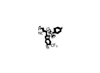 Cc1ccc(S(=O)(=O)n2c(C(=O)/C(C#N)=C/N(C)C)cc3cc(Br)c(C(F)(F)F)cc32)cc1